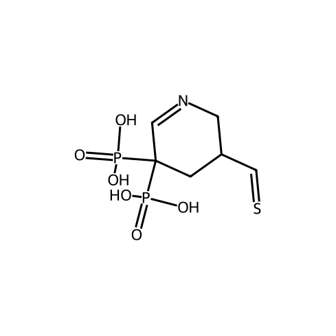 O=P(O)(O)C1(P(=O)(O)O)C=NCC(C=S)C1